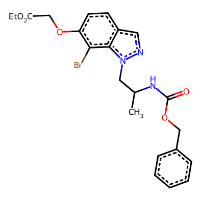 CCOC(=O)COc1ccc2cnn(CC(C)NC(=O)OCc3ccccc3)c2c1Br